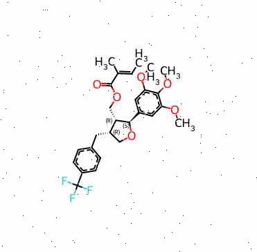 CC=C(C)C(=O)OC[C@H]1[C@@H](Cc2ccc(C(F)(F)F)cc2)CO[C@@H]1c1cc(OC)c(OC)c(OC)c1